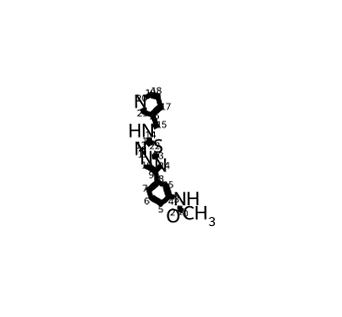 CC(=O)Nc1cccc(-c2cn3nc(NCc4cccnc4)sc3n2)c1